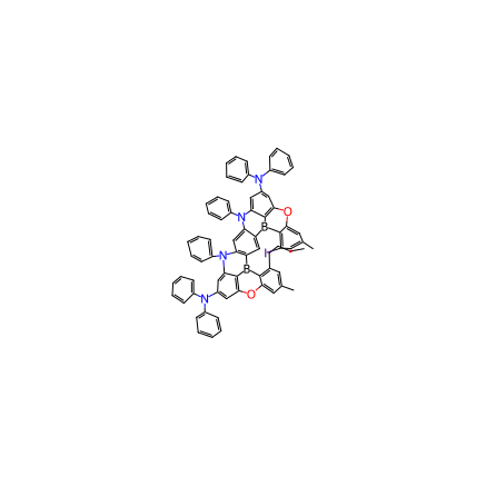 CCCCc1cc(C)cc2c1B1c3cc4c(cc3N(c3ccccc3)c3cc(N(c5ccccc5)c5ccccc5)cc(c31)O2)N(c1ccccc1)c1cc(N(c2ccccc2)c2ccccc2)cc2c1B4c1c(I)cc(C)cc1O2